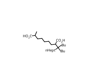 CCCCCCCC(C(C)CC)(C(C)CC)C(CCCCCC(C)C(=O)O)C(=O)O